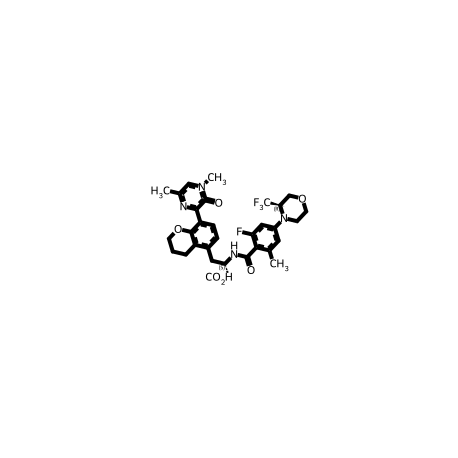 Cc1cn(C)c(=O)c(-c2ccc(C[C@H](NC(=O)c3c(C)cc(N4CCOC[C@@H]4C(F)(F)F)cc3F)C(=O)O)c3c2OCCC3)n1